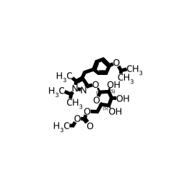 CCOC(=O)OCC1O[C@@H](Oc2nn(C(C)C)c(C)c2Cc2ccc(OC(C)C)cc2)[C@@H](O)C(O)[C@@H]1O